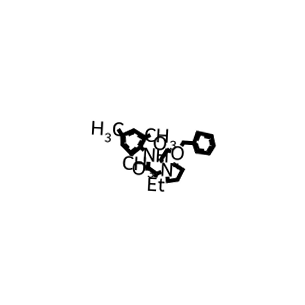 CCC(C(=O)Nc1c(C)cc(C)cc1C)[N+]1(CC(=O)OCc2ccccc2)CCCC1